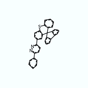 c1ccc(-c2ccc(-c3ccc4c(c3)C3(c5ccccc5S4)c4ccccc4-c4ccccc43)nn2)cc1